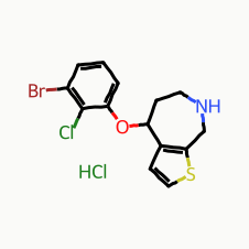 Cl.Clc1c(Br)cccc1OC1CCNCc2sccc21